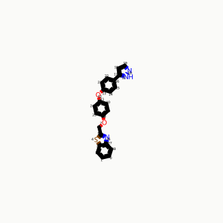 c1ccc2sc(COc3ccc(Oc4ccc(-c5ccn[nH]5)cc4)cc3)nc2c1